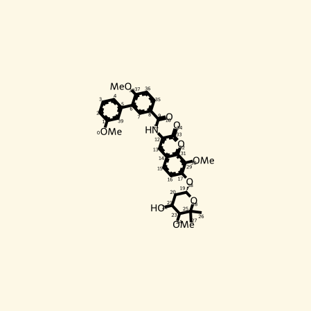 COc1cccc(-c2cc(C(=O)Nc3cc4ccc(O[C@H]5CC(O)C(OC)C(C)(C)O5)c(OC)c4oc3=O)ccc2OC)c1